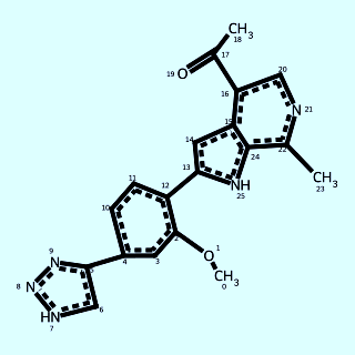 COc1cc(-c2c[nH]nn2)ccc1-c1cc2c(C(C)=O)cnc(C)c2[nH]1